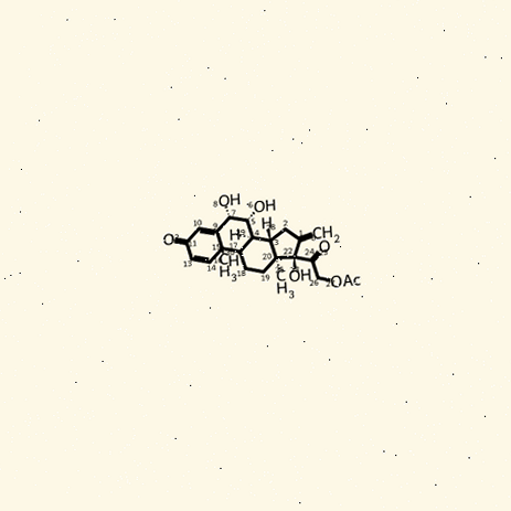 C=C1C[C@H]2[C@@H]3[C@@H](O)[C@@H](O)C4=CC(=O)C=C[C@]4(C)[C@H]3CC[C@]2(C)[C@@]1(O)C(=O)COC(C)=O